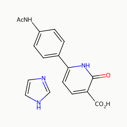 CC(=O)Nc1ccc(-c2ccc(C(=O)O)c(=O)[nH]2)cc1.c1c[nH]cn1